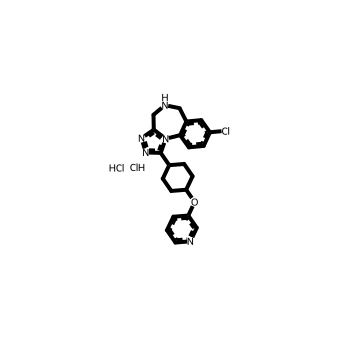 Cl.Cl.Clc1ccc2c(c1)CNCc1nnc(C3CCC(Oc4cccnc4)CC3)n1-2